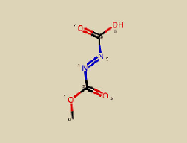 COC(=O)/N=N/C(=O)O